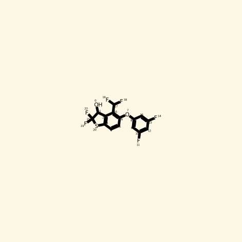 OC1c2c(ccc(Oc3cc(F)cc(F)c3)c2C(F)F)SC1(F)F